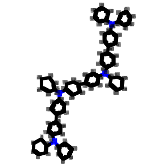 C1=CCCC(N(c2ccccc2)c2ccc(-c3ccc(N(C4=CCCC=C4)C4=CC=C(c5ccc(N(c6ccc(-c7ccc(N(c8ccccc8)c8ccccc8)cc7)cc6)C6C=CC=CC6)cc5)CC4)cc3)cc2)=C1